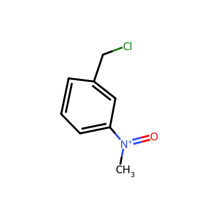 C[N+](=O)c1cccc(CCl)c1